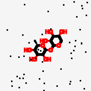 C[C@@H]1O[C@@H](OC2OC[C@@H](O)[C@H](O)[C@H]2O)[C@H](O)[C@H](O)[C@H]1O